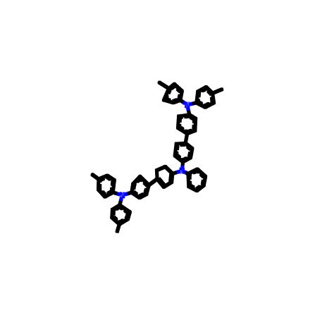 Cc1ccc(N(c2ccc(C)cc2)c2ccc(C3=CC=C(N(c4ccccc4)c4ccc(-c5ccc(N(c6ccc(C)cc6)c6ccc(C)cc6)cc5)cc4)CC3)cc2)cc1